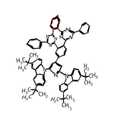 CC(C)(C)c1ccc2c(c1)c1cc(C(C)(C)C)ccc1n2-c1cc(-c2ccc(-c3nc(-c4ccccc4)nc(-c4ccccc4)n3)c(-c3nc(-c4ccccc4)nc(-c4ccccc4)n3)c2)cc(-n2c3ccc(C(C)(C)C)cc3c3cc(C(C)(C)C)ccc32)n1